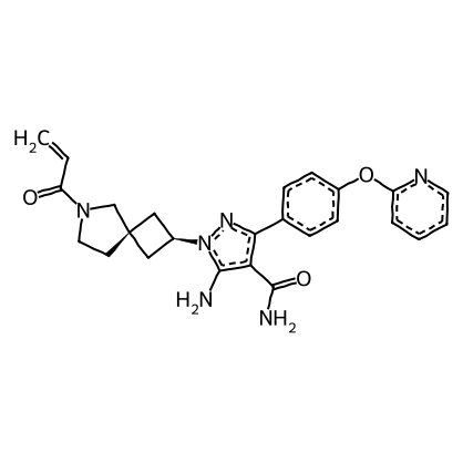 C=CC(=O)N1CC[C@]2(C1)C[C@H](n1nc(-c3ccc(Oc4ccccn4)cc3)c(C(N)=O)c1N)C2